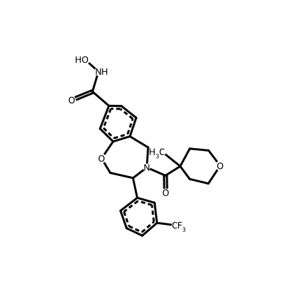 CC1(C(=O)N2Cc3ccc(C(=O)NO)cc3OCC2c2cccc(C(F)(F)F)c2)CCOCC1